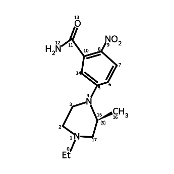 CCN1CCN(c2ccc([N+](=O)[O-])c(C(N)=O)c2)[C@@H](C)C1